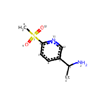 CCC(N)c1ccc(S(C)(=O)=O)nc1